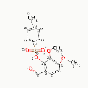 COc1ccc(C=O)c(OS(=O)(=O)c2ccc(C)cc2)c1OC